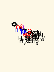 C[C@H]1O[C@@H](n2cc(I)c(NC(=O)OCC3CCCCC3)nc2=O)[C@H](O[Si](C)(C)C(C)(C)C)[C@@H]1O[Si](C)(C)C(C)(C)C